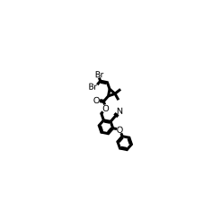 CC1(C)C(C=C(Br)Br)C1C(=O)OCc1cccc(Oc2ccccc2)c1C#N